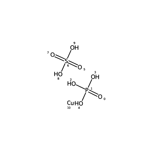 O=P(O)(O)O.O=S(=O)(O)O.[Cu]